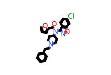 O=C(c1ccco1)N(c1noc2cc(Cl)ccc12)C1CCN(CCc2ccccc2)CC1